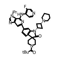 CC(C)n1cnc2cc(-c3ccc4c(c3)N([C@H]3C[C@@H](N5CCCCC5)C3)C(=O)C43CCN(C(=O)C(C)(C)C)CC3)nc(Nc3ccncc3F)c21